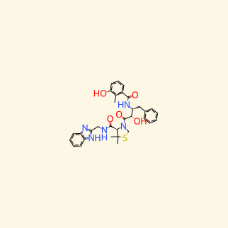 Cc1c(O)cccc1C(=O)N[C@@H](Cc1ccccc1)[C@H](O)C(=O)N1CSC(C)(C)[C@H]1C(=O)NCc1nc2ccccc2[nH]1